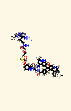 CCC(OC)N1CC(C#CNC(=O)COCCOC(S)COC2=CCCC(C(=O)NCCNC(=O)c3ccc(C(=O)O)c(C4=c5cc6c(cc5OC5=C4CC4C(=C5)NC(C)(C)CC4CS(=O)(=O)O)=NC(C)(C)C=C6CS(=O)(=O)O)c3)=C2)c2c(N)ncnc21